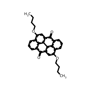 CCCCOc1cc2c3c4c1cccc4c(=O)c1cc(OCCCC)c4cccc(c2=O)c4c1-3